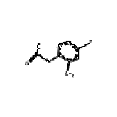 O=C(Cl)Cc1ccc(F)cc1C(F)(F)F